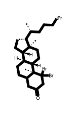 CC(C)CCC[C@@H](C)[C@H]1CC[C@H]2[C@@H]3CCC4CC(=O)CC(Br)(Br)[C@]4(C)[C@H]3CC[C@]12C